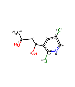 CC(O)CC(O)c1cc(Cl)cnc1Cl